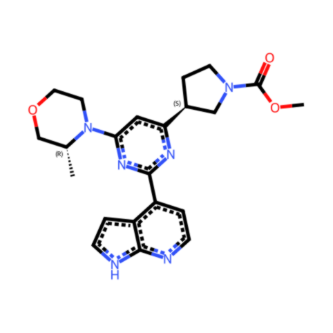 COC(=O)N1CC[C@H](c2cc(N3CCOC[C@H]3C)nc(-c3ccnc4[nH]ccc34)n2)C1